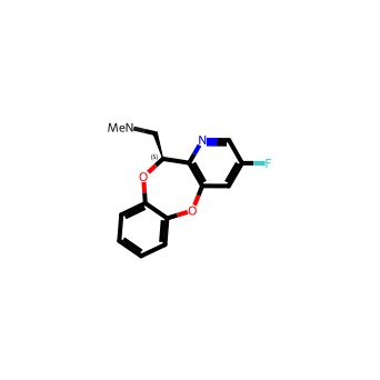 CNC[C@@H]1Oc2ccccc2Oc2cc(F)cnc21